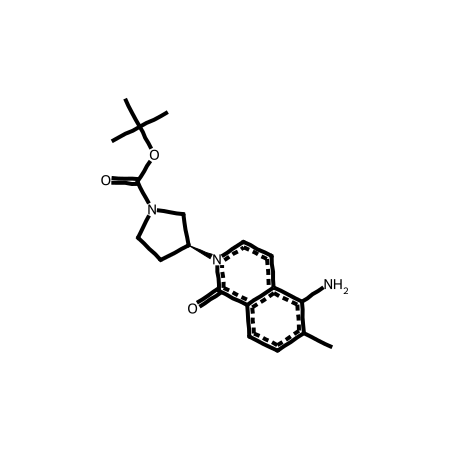 Cc1ccc2c(=O)n([C@H]3CCN(C(=O)OC(C)(C)C)C3)ccc2c1N